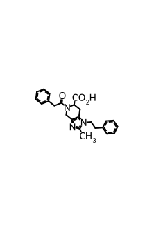 Cc1nc2c(n1CCc1ccccc1)CC(C(=O)O)N(C(=O)Cc1ccccc1)C2